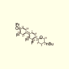 CCCCC1CCC(c2ccc(-c3ccc(OCC)c(F)c3)c(F)c2F)OC1